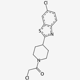 O=C(CCl)N1CCC(c2nc3ccc(Cl)cc3s2)CC1